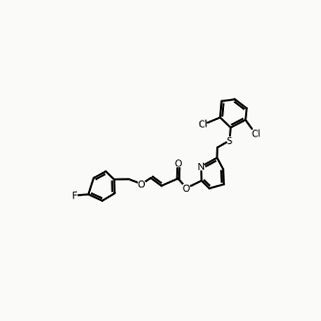 O=C(C=COCc1ccc(F)cc1)Oc1cccc(CSc2c(Cl)cccc2Cl)n1